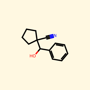 N#CC1(C(O)c2ccccc2)CCCC1